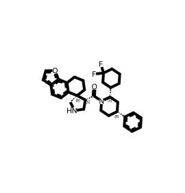 O=C([C@@H]1CNC[C@]12CCCc1c2ccc2ccoc12)N1CC[C@@H](c2ccccc2)C[C@H]1C1CCCC(F)(F)C1